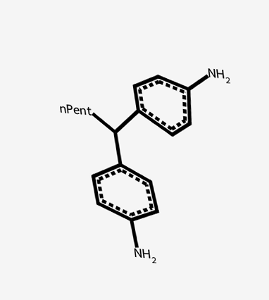 CCCCCC(c1ccc(N)cc1)c1ccc(N)cc1